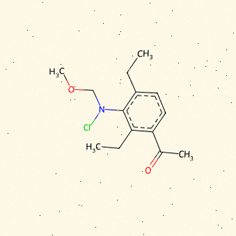 CCc1ccc(C(C)=O)c(CC)c1N(Cl)COC